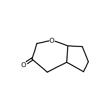 O=C1COC2CCCC2C1